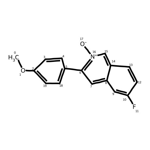 COc1ccc(-c2cc3cc(F)ccc3c[n+]2[O-])cc1